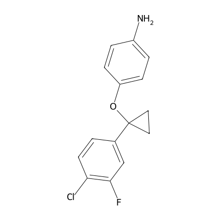 Nc1ccc(OC2(c3ccc(Cl)c(F)c3)CC2)cc1